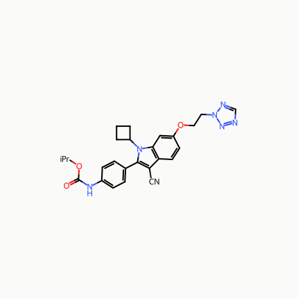 CC(C)OC(=O)Nc1ccc(-c2c(C#N)c3ccc(OCCn4ncnn4)cc3n2C2CCC2)cc1